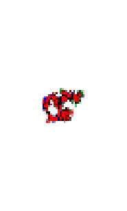 Cc1cc(N(C)CCCCCC(=O)N(C)CCN2CCC(N(C(=O)O)c3ccccc3-c3ccccc3)CC2)sc1C(=O)N(C)CCN(C)C(=O)CO[C@H]1Cc2ccccc2C12CCN(CC[C@]1(c3ccc(F)cc3)CN(C(=O)c3cc(C(F)(F)F)cc(C(F)(F)F)c3)CO1)CC2